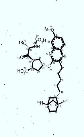 COc1ccc2nc(CCCCC[C@H]3C[C@H]4CC[C@@H]3C4)c(O[C@@H]3C[C@@H](C(=O)O)N(C(=O)[C@@H](NC(=O)O)C(C)(C)C)C3)nc2c1